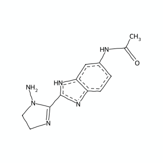 CC(=O)Nc1ccc2nc(C3=NCCN3N)[nH]c2c1